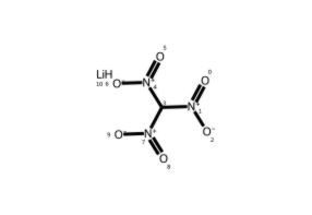 O=[N+]([O-])[C]([N+](=O)[O-])[N+](=O)[O-].[LiH]